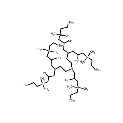 CCCCCCCCCCCC[N+](C)(C)CC(O)CN(CCN(CC(O)C[N+](C)(C)CCCCCCCCCCCC)CC(O)C[N+](C)(C)CCCCCCCCCCCC)CCN(CC(O)C[N+](C)(C)CCCCCCCCCCCC)CC(O)C[N+](C)(C)CCCCCCCCCCCC